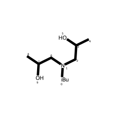 CCC(C)N(CC(C)O)CC(C)O